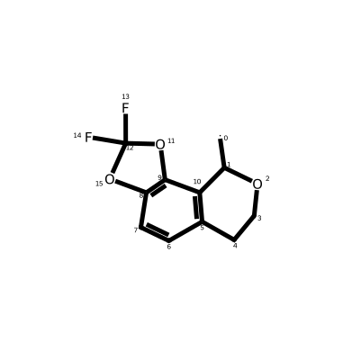 [CH2]C1OCCc2ccc3c(c21)OC(F)(F)O3